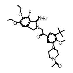 CCOc1cc2c(c(F)c1OCC)/C(=N/Br)N(CC(=O)c1cc(N3CCN(C(C)=O)CC3)c(OC)c(C(C)(C)C)c1)C2